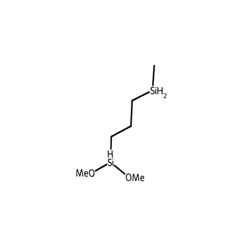 CO[SiH](CCC[SiH2]C)OC